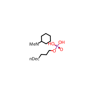 CCCCCCCCCCCCCOP(=O)(O)O.CNC1CCCCC1